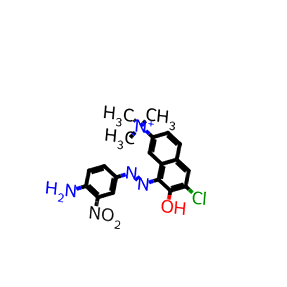 C[N+](C)(C)c1ccc2cc(Cl)c(O)c(N=Nc3ccc(N)c([N+](=O)[O-])c3)c2c1